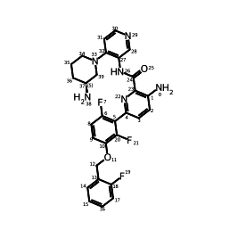 Nc1ccc(-c2c(F)ccc(OCc3ccccc3F)c2F)nc1C(=O)Nc1cnccc1N1CCC[C@H](N)C1